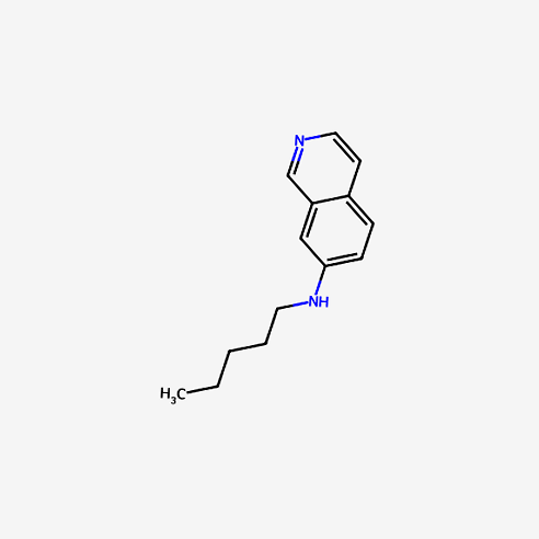 CCCCCNc1ccc2ccncc2c1